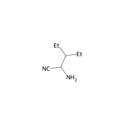 CC[C](CC)C(N)C#N